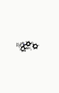 C/N=C(/c1ccc(OC2=CC=CCC2)cc1)c1c(C)ncnc1N